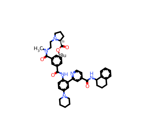 CN(CCN1CCC[C@H]1C(=O)OC(C)(C)C)C(=O)c1cccc(C(=O)Nc2ccc(N3CCCCC3)cc2-c2cc(C(=O)NC3CCCc4ccccc43)ccn2)c1